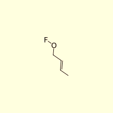 CC=CCOF